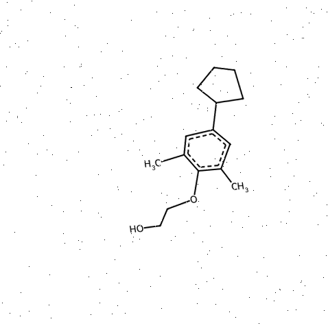 Cc1cc(C2CCCC2)cc(C)c1OCCO